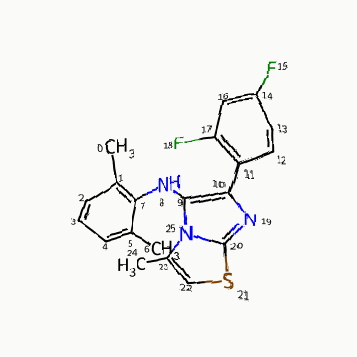 Cc1cccc(C)c1Nc1c(-c2ccc(F)cc2F)nc2scc(C)n12